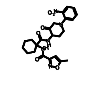 Cc1cc(C(=O)NC2(C(=O)NC3CCN(c4ccccc4[N+](=O)[O-])CC3=O)CCCCC2)no1